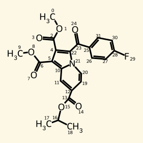 COC(=O)c1c(C(=O)OC)c2cc(C(=O)OC(C)C)ccn2c1C(=O)c1ccc(F)cc1